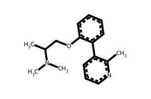 Cc1ncccc1-c1ccccc1OCC(C)N(C)C